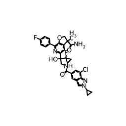 C[C@]1(C(N)=O)COc2c1cc(C(O)(CNC(=O)c1cc(Cl)c3nn(C4CC4)cc3c1)C1(F)CC1)nc2-c1ccc(F)cc1